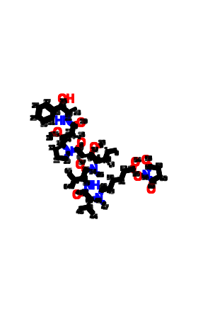 CC[C@H](C)[C@@H]([C@@H](CC(=O)N1CCC[C@H]1[C@H](OC)[C@@H](C)C(=O)N[C@H](C)[C@@H](O)c1ccccc1)OC)N(C)C(=O)[C@@H](NC(=O)[C@H](C(C)C)N(C)CCCCCC(=O)ON1C(=O)CCC1=O)C(C)C